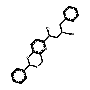 CC(C)(C)N(Cc1ccccc1)CC(O)c1ccc2c(n1)COC(c1ccccc1)O2